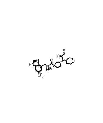 CC(C)[C@]1(C(=O)NCc2cc(C(F)(F)F)cc3[nH]cnc23)CC[C@@H](N(C(=O)CF)C2CCOCC2)C1